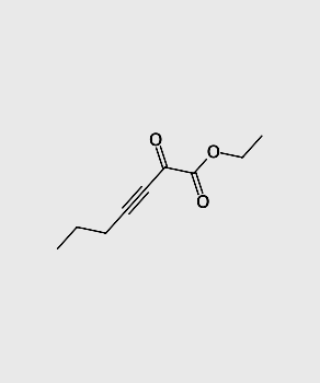 CCCC#CC(=O)C(=O)OCC